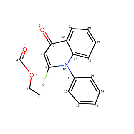 CCOC=O.O=c1cc(F)n(-c2ccccc2)c2ccccc12